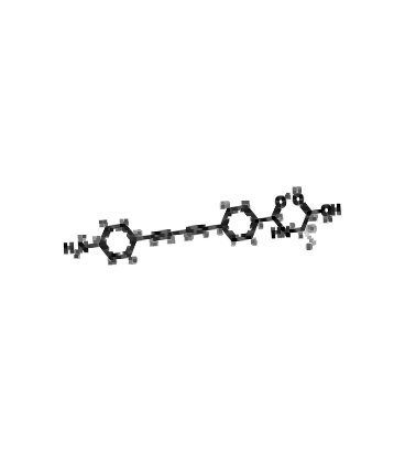 C[C@H](NC(=O)c1ccc(C#CC#Cc2ccc(N)cc2)cc1)C(=O)O